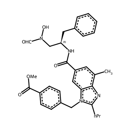 CCCc1nc2c(C)cc(C(=O)N[C@H](Cc3ccccc3)CN(O)C=O)cc2n1Cc1ccc(C(=O)OC)cc1